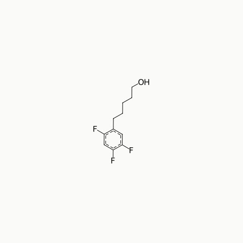 OCCCCCc1cc(F)c(F)cc1F